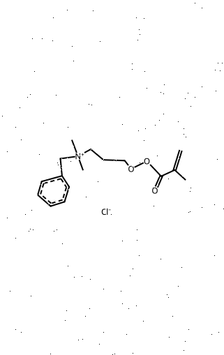 C=C(C)C(=O)OOCCC[N+](C)(C)Cc1ccccc1.[Cl-]